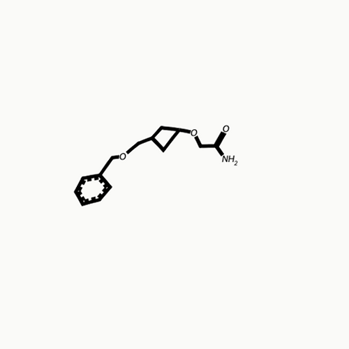 NC(=O)COC1CC(COCc2ccccc2)C1